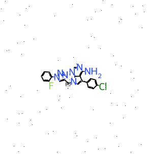 C[C@H](c1cn(-c2ccccc2F)nn1)n1cc(-c2ccc(Cl)cc2)c2c(N)ncnc21